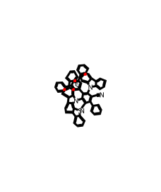 N#Cc1c(-c2ccccc2)c(C#N)c(-n2c3c(ccc4c5ccccc5sc43)c3ccc4c5ccccc5sc4c32)c(-c2cc(-c3ccccc3)cc(-c3ccccc3)c2)c1-n1c2ccccc2c2ccccc21